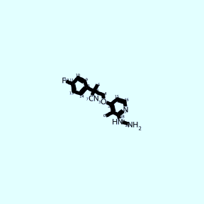 Cc1c(OCC(C)(C#N)c2ccc(F)cc2)ccnc1NN